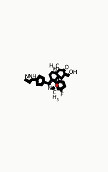 Cc1nc(-c2ccc(-c3ccn[nH]3)cc2)c2c(n1)[C@@]1(c3ccc(F)cc3)CC(=CO)C(=O)[C@@H](C)[C@@H]1CC2